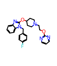 Fc1ccc(Cn2c(OC3CCN(CCOc4ncccn4)CC3)nc3ccccc32)cc1